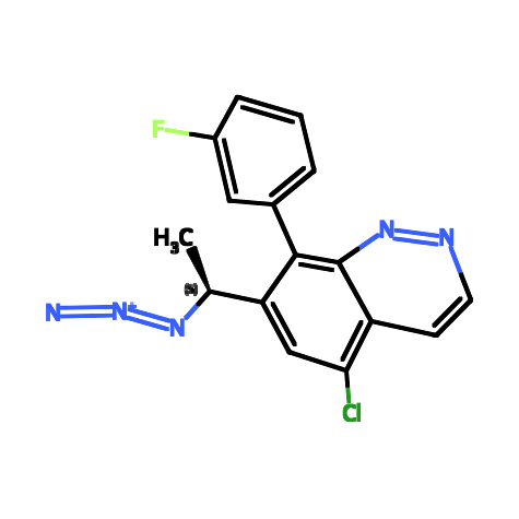 C[C@H](N=[N+]=[N-])c1cc(Cl)c2ccnnc2c1-c1cccc(F)c1